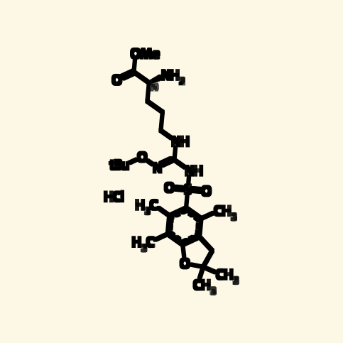 COC(=O)[C@@H](N)CCCNC(=NOC(C)(C)C)NS(=O)(=O)c1c(C)c(C)c2c(c1C)CC(C)(C)O2.Cl